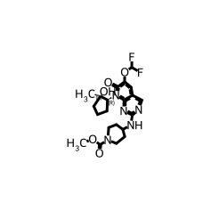 COC(=O)N1CCC(Nc2ncc3cc(OC(F)F)c(=O)n([C@@H]4CCC[C@@]4(C)O)c3n2)CC1